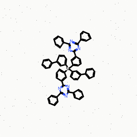 c1ccc(-c2cccc([Si](c3cccc(-c4ccccc4)c3)(c3cccc(-c4nc(-c5ccccc5)nc(-c5ccccc5)n4)c3)c3cccc(-c4nc(-c5ccccc5)nc(-c5ccccc5)n4)c3)c2)cc1